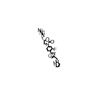 [N-]=[N+]=NC[C@H]1CN(c2ccc(-c3nc(Cn4cccn4)co3)c(F)c2)C(=O)O1